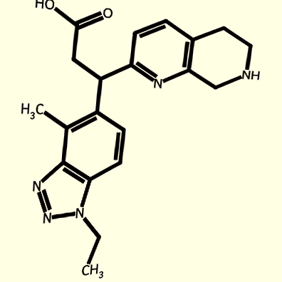 CCn1nnc2c(C)c(C(CC(=O)O)c3ccc4c(n3)CNCC4)ccc21